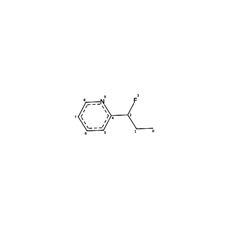 CCC(F)c1ccccn1